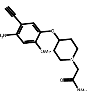 C#Cc1cc(OC2CCN(CC(=O)NC)CC2)c(OC)cc1N